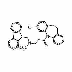 O=C(O)N(CCC(=O)N1c2ccccc2CCc2ccc(Cl)cc21)CC1c2ccccc2-c2ccccc21